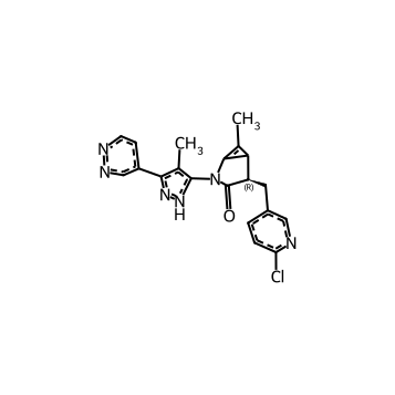 CC1=C2C1[C@@H](Cc1ccc(Cl)nc1)C(=O)N2c1[nH]nc(-c2ccnnc2)c1C